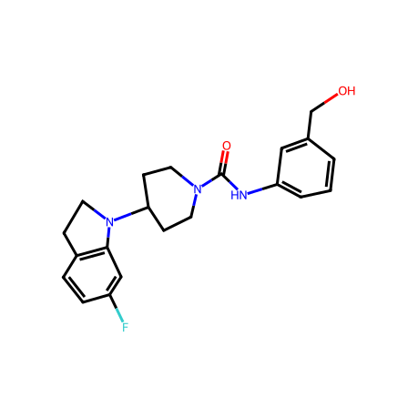 O=C(Nc1cccc(CO)c1)N1CCC(N2CCc3ccc(F)cc32)CC1